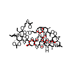 C/C=C/C[C@@H](C)[C@@H](OC(C)=O)[C@@H](C(=O)N[C@@H](CC)C(=O)OCCN(C)C(C)=O)N(C)C(=O)[C@H](C(C)C)N(C)C(=O)[C@H](CC(C)C)N(C)C(=O)[C@H](CC(C)C)N(C)C(=O)[C@@H](C)NC(=O)[C@H](C)NC(=O)[C@H](CC(C)C)N(C)C(=O)[C@@H](CC(=O)[C@H]([C@H](C)CN1CCN(CCOC)CC1)N(C)C(=O)[C@@H](C)N(C)C(=O)OC(C)(C)C)C(C)C